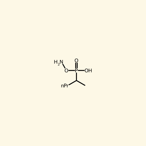 CCCC(C)P(=O)(O)ON